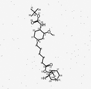 COC1CN(CCCCCC(=O)O[C@H]2CN3CCC2CC3)CC[C@H]1NC(=O)OC(C)(C)C